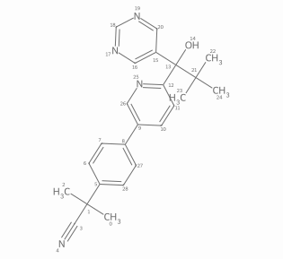 CC(C)(C#N)c1ccc(-c2ccc(C(O)(c3cncnc3)C(C)(C)C)nc2)cc1